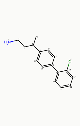 CC(CCN)c1ccc(-c2ccccc2Cl)cc1